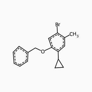 Cc1cc(C2CC2)c(OCc2ccccc2)cc1Br